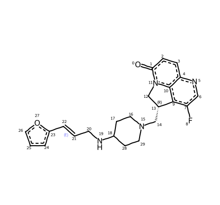 O=c1ccc2ncc(F)c3c2n1C[C@H]3CN1CCC(NC/C=C/c2ccco2)CC1